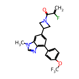 C=C(F)C(=O)N1CC(c2cc(-c3ccc(OC(F)(F)F)cc3)c3ncn(C)c3c2)C1